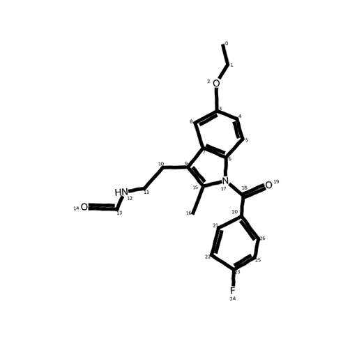 CCOc1ccc2c(c1)c(CCNC=O)c(C)n2C(=O)c1ccc(F)cc1